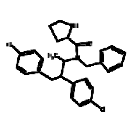 CC(C(Cc1ccc(Cl)cc1)c1ccc(Cl)cc1)N(Cc1ccccc1)C(=O)C1CCCN1